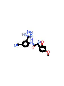 COc1ccc2c(C(=O)Nc3ccc(C#N)cc3-c3nnn[nH]3)noc2c1